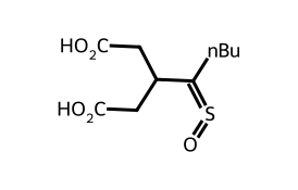 CCCCC(=S=O)C(CC(=O)O)CC(=O)O